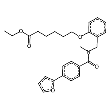 CCOC(=O)CCCCCOc1ccccc1CN(C)C(=O)c1ccc(-c2ccco2)cc1